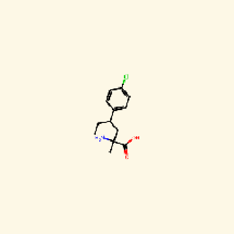 CCC(CC(C)(N)C(=O)O)c1ccc(Cl)cc1